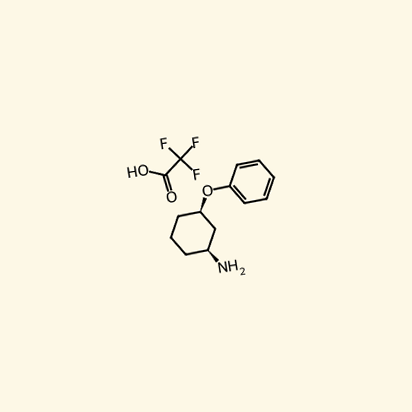 N[C@H]1CCC[C@@H](Oc2ccccc2)C1.O=C(O)C(F)(F)F